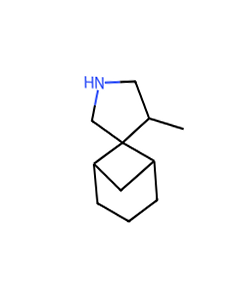 CC1CNCC12C1CCCC2C1